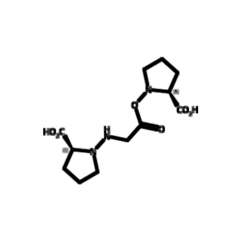 O=C(CNN1CCC[C@H]1C(=O)O)ON1CCC[C@H]1C(=O)O